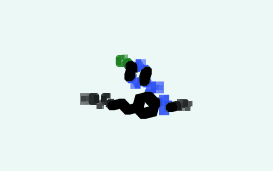 CC(C)CNc1ccc(CCCC(=O)O)cc1Nc1cnc(Cl)cn1